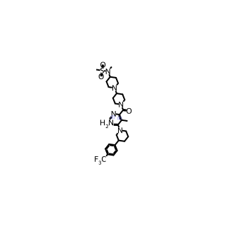 C=C(/C(C)=C(\N=C/N)C(=O)N1CCC(N2CCC(N(C)S(C)(=O)=O)CC2)CC1)N1CCCC(c2ccc(C(F)(F)F)cc2)C1